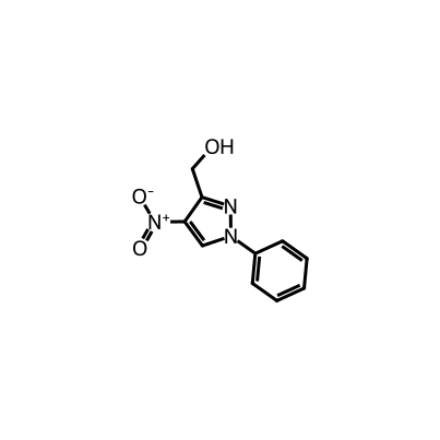 O=[N+]([O-])c1cn(-c2ccccc2)nc1CO